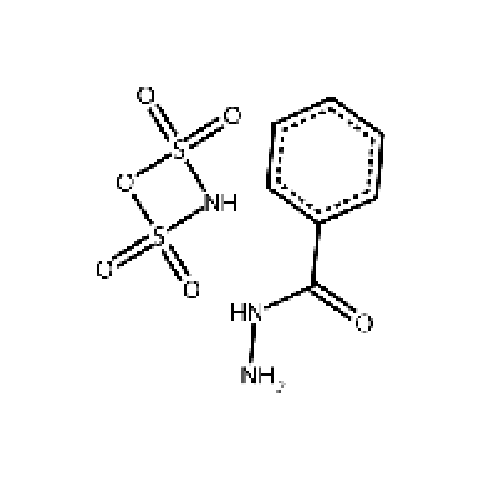 NNC(=O)c1ccccc1.O=S1(=O)NS(=O)(=O)O1